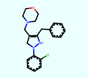 Clc1ccccc1N1CC(CN2CCOCC2)=C(Cc2ccccc2)N1